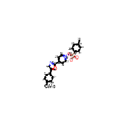 COc1ccc(-c2cnc(-c3cc[n+](OS(=O)(=O)c4ccc(C)cc4)cc3)o2)cc1